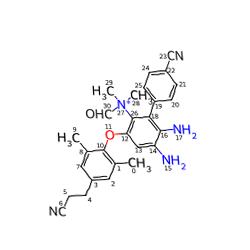 Cc1cc(CCC#N)cc(C)c1Oc1cc(N)c(N)c(-c2ccc(C#N)cc2)c1[N+](C)(C)C=O